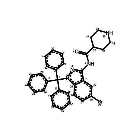 O=C(Nc1nn(C(c2ccccc2)(c2ccccc2)c2ccccc2)c2ccc(Br)cc12)C1CCNCC1